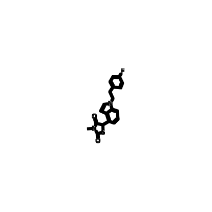 CN1C(=O)SC(c2cccc3c2ccn3CCc2ccc(F)cc2)C1=O